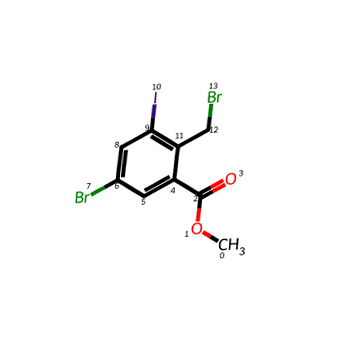 COC(=O)c1cc(Br)cc(I)c1CBr